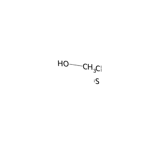 CO.[C].[S]